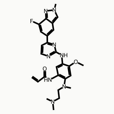 C=CC(=O)Nc1cc(Nc2nccc(-c3cc(F)c4nn(C)cc4c3)n2)c(OC)cc1N(C)CCN(C)C